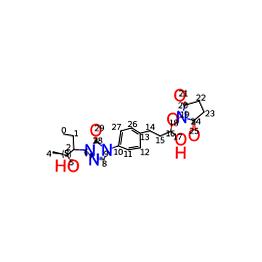 CCC([C@H](C)O)n1ncn(-c2ccc(CCC(O)ON3C(=O)CCC3=O)cc2)c1=O